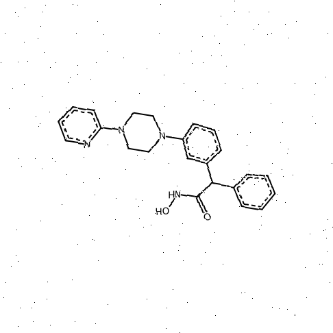 O=C(NO)C(c1ccccc1)c1cccc(N2CCN(c3ccccn3)CC2)c1